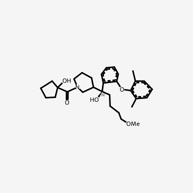 COCCCC[C@@](O)(c1ccccc1Oc1c(C)cccc1C)C1CCCN(C(=O)C2(O)CCCC2)C1